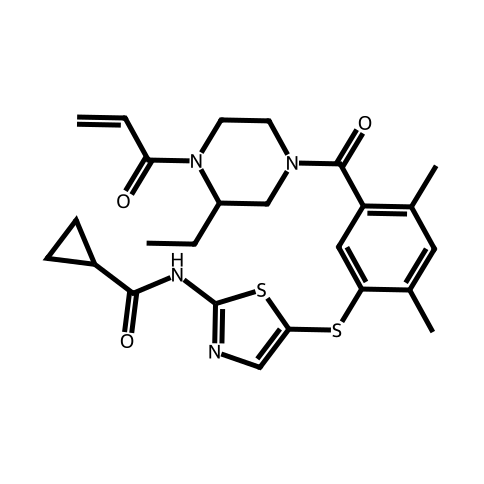 C=CC(=O)N1CCN(C(=O)c2cc(Sc3cnc(NC(=O)C4CC4)s3)c(C)cc2C)CC1CC